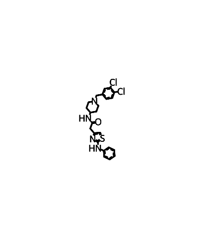 O=C(Cc1csc(Nc2ccccc2)n1)NC1CCN(Cc2ccc(Cl)c(Cl)c2)CC1